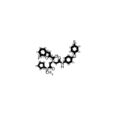 CN(C(=O)CN(CC(=O)Nc1ccc(Oc2ccc(F)cc2)cc1)C(=O)c1cc2cccc(F)c2o1)C1CCCC1